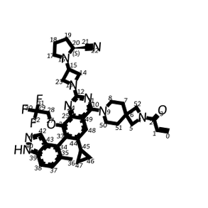 C=CC(=O)N1CC2(CCN(c3nc(N4CC(N5CCC[C@H]5C#N)C4)nc4c(OCC(F)(F)F)c(-c5c(C)ccc6[nH]ncc56)c(C5CC5)cc34)CC2)C1